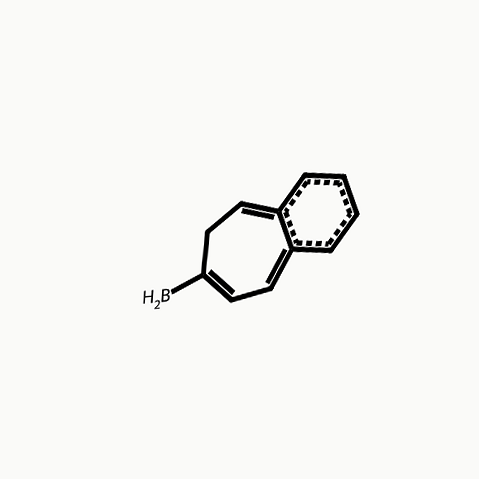 BC1=CC=c2ccccc2=CC1